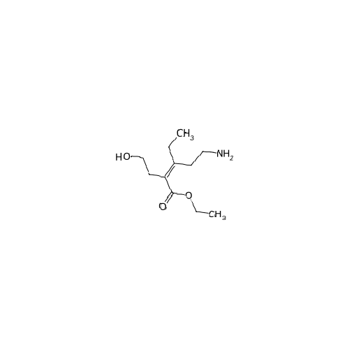 CCOC(=O)C(CCO)=C(CC)CCN